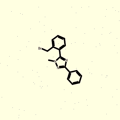 Cn1nc(-c2ccccc2)nc1-c1ccccc1CBr